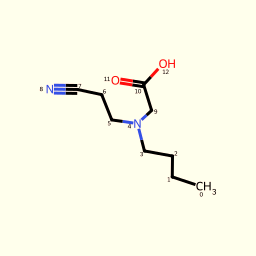 CCCCN(CCC#N)CC(=O)O